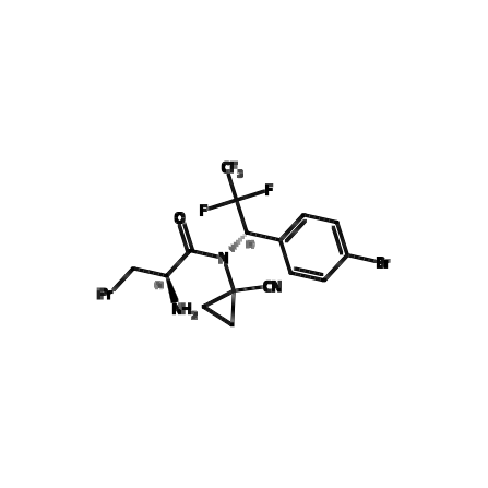 CC(C)C[C@H](N)C(=O)N([C@@H](c1ccc(Br)cc1)C(F)(F)C(F)(F)F)C1(C#N)CC1